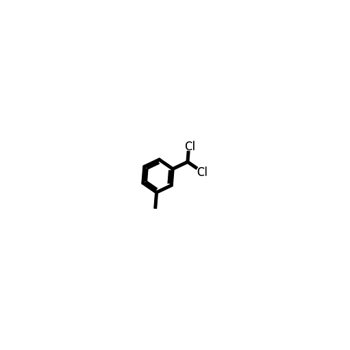 CC1=C=C=CC(C(Cl)Cl)=C1